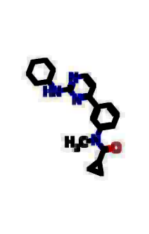 CN(C(=O)C1CC1)c1cccc(-c2ccnc(NC3CCCCC3)n2)c1